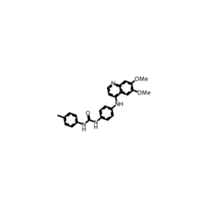 COc1cc2nccc(Nc3ccc(NC(=O)Nc4ccc(C)cc4)cc3)c2cc1OC